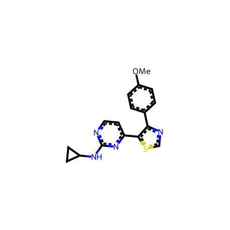 COc1ccc(-c2ncsc2-c2ccnc(NC3CC3)n2)cc1